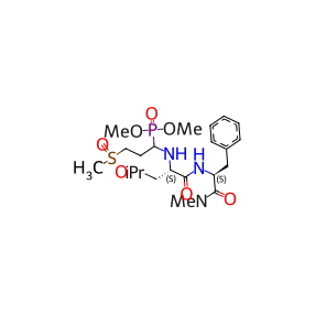 CNC(=O)[C@H](Cc1ccccc1)NC(=O)[C@H](CC(C)C)NC(CCS(C)(=O)=O)P(=O)(OC)OC